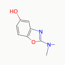 CN(C)c1nc2cc(O)ccc2o1